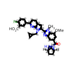 COc1cc(C(=O)N2C[C@H]3CC[C@@H]2[C@@H]3N)cc2nc(-c3cc4ccc(-c5ccc(F)c(C(=O)O)c5)nc4n3CC3CC3)n(C)c12